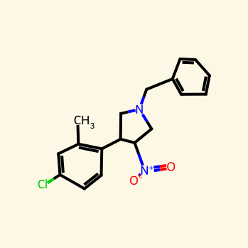 Cc1cc(Cl)ccc1C1CN(Cc2ccccc2)CC1[N+](=O)[O-]